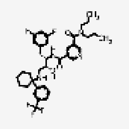 CCCN(CCC)C(=O)c1cncc(C(=O)N[C@@H](Cc2cc(F)cc(F)c2)[C@H](O)CNC2(c3cccc(C(F)(F)F)c3)CCCCC2)c1